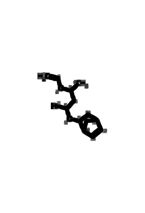 C=COC(C)CC(CC)OC1CC2C=CC1C2